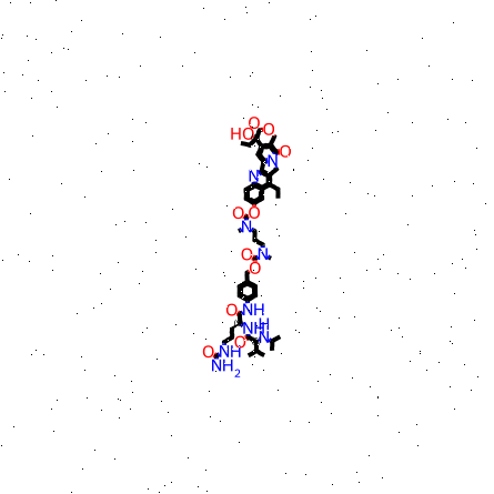 CCc1c2c(nc3ccc(OC(=O)N(C)CCCN(C)C(=O)OCc4ccc(NC(=O)[C@H](CCCNC(N)=O)NC(=O)[C@@H](NC(C)C)C(C)C)cc4)cc13)-c1cc3c(c(=O)n1C2)COC(=O)[C@]3(O)CC